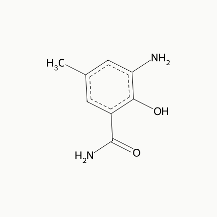 Cc1cc(N)c(O)c(C(N)=O)c1